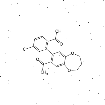 CC(=O)c1cc2c(cc1-c1cc(Cl)ccc1C(=O)O)OCCCO2